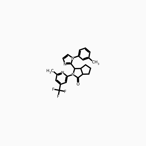 Cc1cccc(-n2ccnc2C2C3CCCC3C(=O)N2c2cc(C(F)(F)F)cc(C)n2)c1